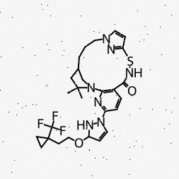 CC1(C)CC2CCCn3ccc(n3)SNC(=O)c3ccc(N4C=CC(OCCC5(C(F)(F)F)CC5)N4)nc3N1C2